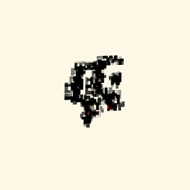 CCc1cc(Nc2nccn3c(-c4ccc(OC)c(F)c4F)cnc23)ccc1C(=O)NCCC[N+](C)(CC1CNC1)CC1CNC1.CCc1cc(Nc2nccn3c(-c4ccc(OC)c(F)c4F)cnc23)ccc1C(=O)NCCC[N+](C)(CC1CNC1)CC1CNC1.O=C([O-])C(F)(F)F.O=C([O-])C(F)(F)F